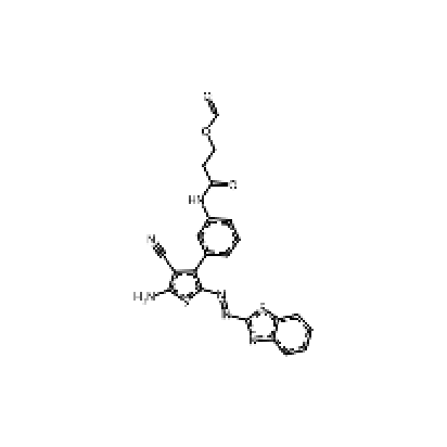 N#Cc1c(N)sc(N=Nc2nc3ccccc3s2)c1-c1cccc(NC(=O)CCOC=O)c1